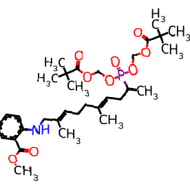 COC(=O)c1ccccc1NC/C(C)=C/CC/C(C)=C/CC(C)P(=O)(OCOC(=O)C(C)(C)C)OCOC(=O)C(C)(C)C